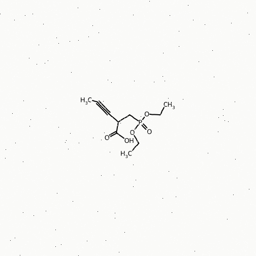 CC#CC(CP(=O)(OCC)OCC)C(=O)O